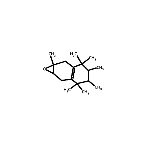 CC1C(C)C(C)(C)C2=C(CC3OC3(C)C2)C1(C)C